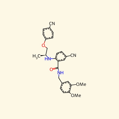 COc1ccc(CNC(=O)c2cc(C#N)ccc2N[C@@H](C)COc2ccc(C#N)cc2)cc1OC